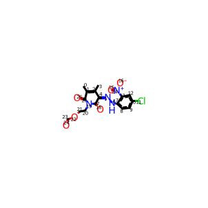 CC1=C(C)/C(=N/Nc2ccc(Cl)cc2[N+](=O)[O-])C(=O)N(CCOC=O)C1=O